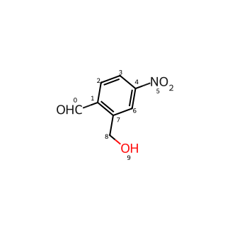 O=Cc1ccc([N+](=O)[O-])cc1CO